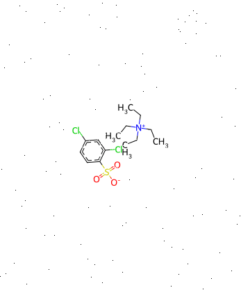 CC[N+](CC)(CC)CC.O=S(=O)([O-])c1ccc(Cl)cc1Cl